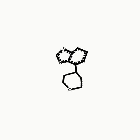 c1cc(C2CCOCC2)c2ncsc2c1